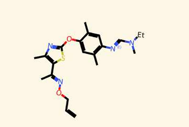 C=CCON=C(C)c1sc(Oc2cc(C)c(/N=C/N(C)CC)cc2C)nc1C